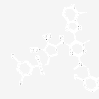 Cc1nc(N(C)Cc2c(F)cccc2F)nc(N[C@@H]2C[C@H](CS(=O)(=O)c3cc(F)cc(F)c3)[C@@H](O)[C@H]2O)c1-c1nc2c(C)nccc2s1